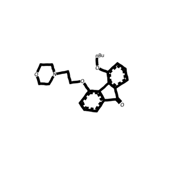 CCCCOc1cccc2c1-c1c(OCCN3CCOCC3)cccc1C2=O